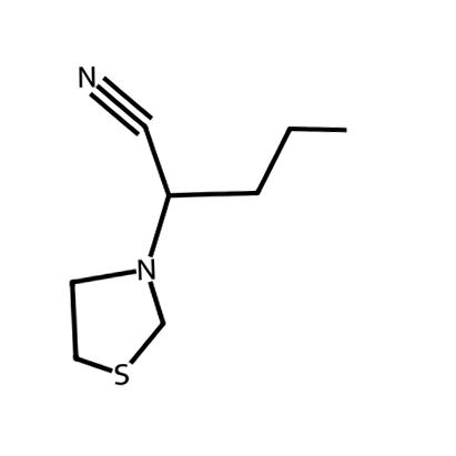 CCCC(C#N)N1CCSC1